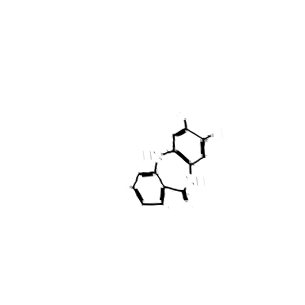 O=C1Nc2cc(Cl)c(Cl)cc2Nc2ccccc21